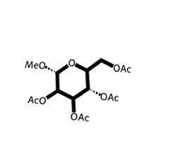 CO[C@@H]1OC(COC(C)=O)[C@H](OC(C)=O)C(OC(C)=O)C1OC(C)=O